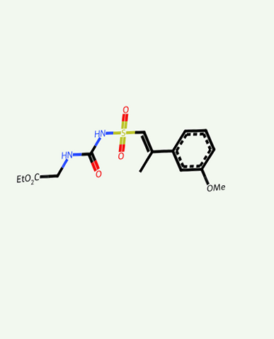 CCOC(=O)CNC(=O)NS(=O)(=O)/C=C(\C)c1cccc(OC)c1